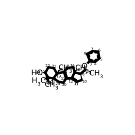 C[C@@H](Oc1ccccc1)[C@H]1CC=C2C3=C(CC[C@@]21C)[C@@]1(C)CC[C@H](O)C(C)(C)[C@@H]1CC3